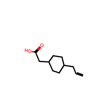 C=CCC1CCC(CC(=O)O)CC1